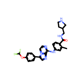 Cc1cc(Nc2nccn3c(-c4ccc(OC(F)F)cc4)cnc23)ccc1C(=O)NCC1CCNC1